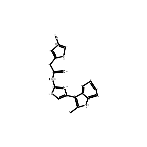 Cc1[nH]c2ccccc2c1-c1csc(NC(=O)Cc2cc(Br)cs2)n1